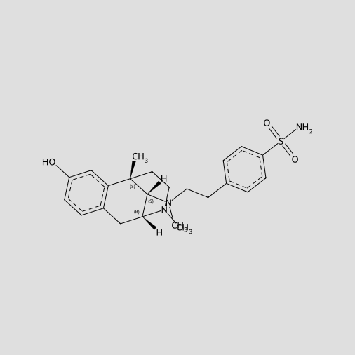 CN1CC[C@@]2(C)c3cc(O)ccc3C[C@@H]1[C@H]2N(C)CCc1ccc(S(N)(=O)=O)cc1